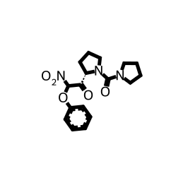 O=C(C(Oc1ccccc1)[N+](=O)[O-])[C@@H]1CCCN1C(=O)N1CCCC1